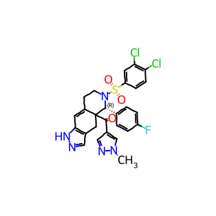 Cn1cc(C(=O)C23Cc4cn[nH]c4C=C2CCN(S(=O)(=O)c2ccc(Cl)c(Cl)c2)[C@@H]3c2ccc(F)cc2)cn1